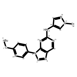 CCCCOc1ccc(-n2nnc3cnc(Nc4cnn(CC)c4)nc32)cn1